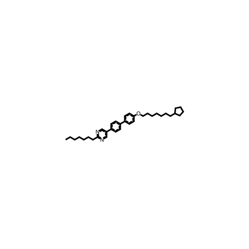 CCCCCCCc1ncc(-c2ccc(-c3ccc(OCCCCCCCC4CCCC4)cc3)cc2)cn1